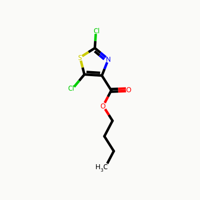 CCCCOC(=O)c1nc(Cl)sc1Cl